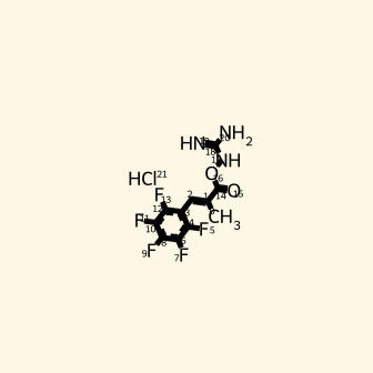 C/C(=C\c1c(F)c(F)c(F)c(F)c1F)C(=O)ONC(=N)N.Cl